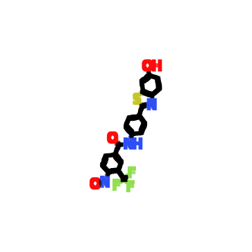 O=Nc1ccc(C(=O)Nc2ccc(-c3nc4ccc(O)cc4s3)cc2)cc1C(F)(F)F